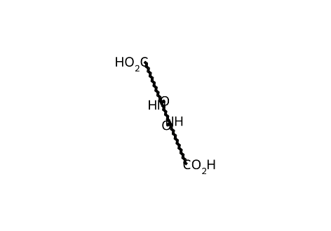 O=C(O)CCCCCCCCCCCCCCCCC(=O)NCCCCCCNC(=O)CCCCCCCCCCCCCCCCC(=O)O